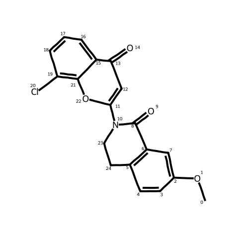 COc1ccc2c(c1)C(=O)N(c1cc(=O)c3cccc(Cl)c3o1)CC2